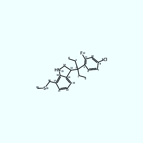 CCC(CC)(c1ccc(Cl)cc1F)C1CNc2c(CSC)cccc21